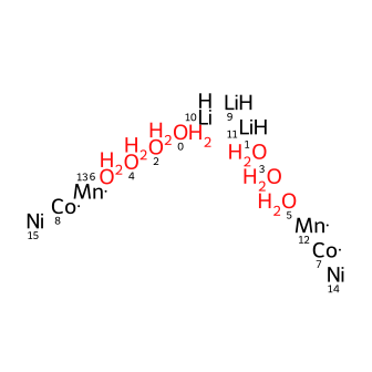 O.O.O.O.O.O.O.[Co].[Co].[LiH].[LiH].[LiH].[Mn].[Mn].[Ni].[Ni]